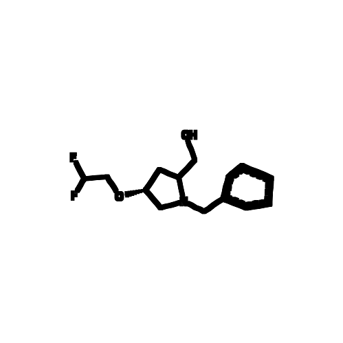 OCC1C[C@@H](OCC(F)F)CN1Cc1ccccc1